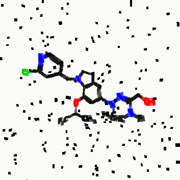 CCN(C=O)/C(CO)=N\N(C)c1cc2c(c(OC(C)C(F)(F)F)c1)N(Cc1ccnc(Cl)c1)CC2